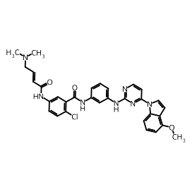 COc1cccc2c1ccn2-c1ccnc(Nc2cccc(NC(=O)c3cc(NC(=O)/C=C/CN(C)C)ccc3Cl)c2)n1